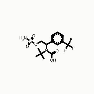 CC(C)(C)N(C(=O)O)C(COS(N)(=O)=O)c1cccc(C(F)(F)F)c1